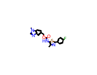 Cc1nc(-c2ccc(F)cc2)sc1NC(=O)OCc1ccc2c(c1)ncn2C